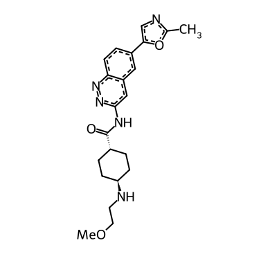 COCCN[C@H]1CC[C@H](C(=O)Nc2cc3cc(-c4cnc(C)o4)ccc3nn2)CC1